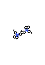 C=Cc1ccc(N(c2ccc3c(c2)C(C)(C)C2=C3CCC(N(C3=CCC(C=C)C=C3)c3cccc4ccccc34)=C2)c2cccc3ccccc23)cc1